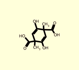 CC1(C(=O)O)C=C(O)C(C)(C(=O)O)C=C1O